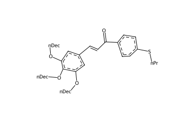 CCCCCCCCCCOc1cc(/C=C/C(=O)c2ccc(SCCC)cc2)cc(OCCCCCCCCCC)c1OCCCCCCCCCC